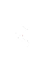 c1ccc(-c2ccccc2-c2ccccc2-c2ccccc2N(c2ccc(-c3ccc4c(c3)c3ccccc3n4-c3ccccc3)cc2)c2ccc3c(c2)-c2ccccc2C32CCCC2)cc1